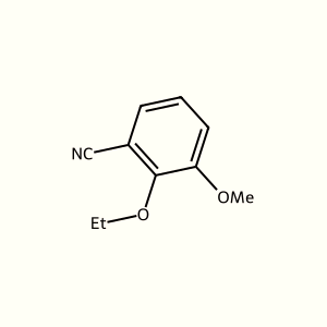 CCOc1c(C#N)cccc1OC